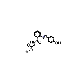 CC(C)(C)OC(=O)CNC(=O)c1ccccc1/N=N/c1ccc(O)cc1